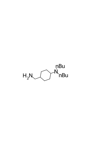 CCCCN(CCCC)C1CCC(CN)CC1